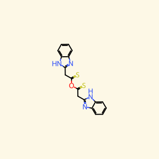 S=C(Cc1nc2ccccc2[nH]1)OC(=S)Cc1nc2ccccc2[nH]1